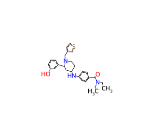 CCN(CC)C(=O)c1ccc(NC2CCN(Cc3ccsc3)C(c3cccc(O)c3)C2)cc1